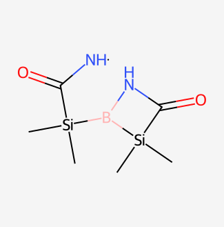 C[Si](C)(B1NC(=O)[Si]1(C)C)C([NH])=O